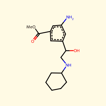 COC(=O)c1cc(N)cc(C(O)CNC2CCCCC2)c1